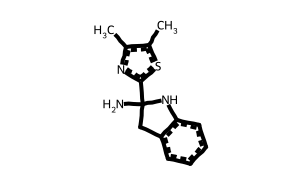 Cc1nc(C2(N)Cc3ccccc3N2)sc1C